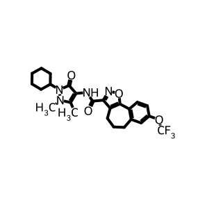 Cc1c(NC(=O)c2noc3c2CCCc2cc(OC(F)(F)F)ccc2-3)c(=O)n(C2CCCCC2)n1C